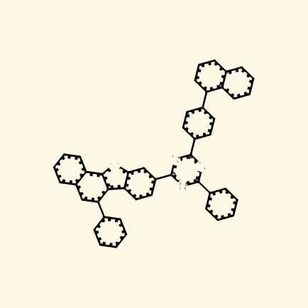 c1ccc(-c2nc(-c3ccc(-c4cccc5ccccc45)cc3)nc(-c3ccc4c(c3)oc3c5ccccc5cc(-c5ccccc5)c43)n2)cc1